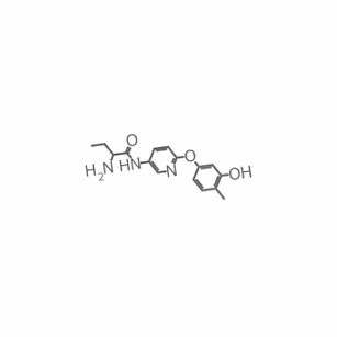 CCC(N)C(=O)Nc1ccc(Oc2ccc(C)c(O)c2)nc1